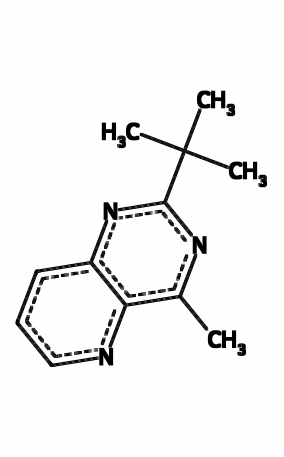 Cc1nc(C(C)(C)C)nc2cccnc12